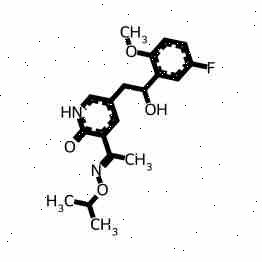 COc1ccc(F)cc1C(O)Cc1c[nH]c(=O)c(/C(C)=N/OC(C)C)c1